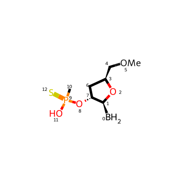 B[C@@H]1O[C@H](COC)C[C@H]1OP(C)(O)=S